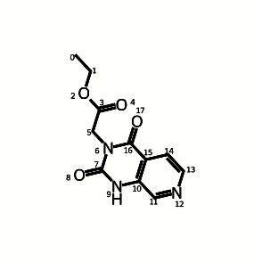 CCOC(=O)Cn1c(=O)[nH]c2cnccc2c1=O